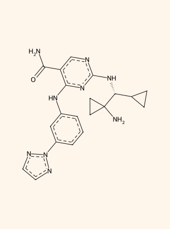 NC(=O)c1cnc(N[C@H](C2CC2)C2(N)CC2)nc1Nc1cccc(-n2nccn2)c1